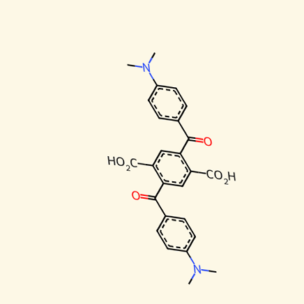 CN(C)c1ccc(C(=O)c2cc(C(=O)O)c(C(=O)c3ccc(N(C)C)cc3)cc2C(=O)O)cc1